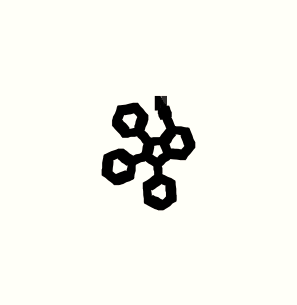 N#Cc1cccc2c1C(c1ccccc1)=C(c1ccccc1)C2c1ccccc1